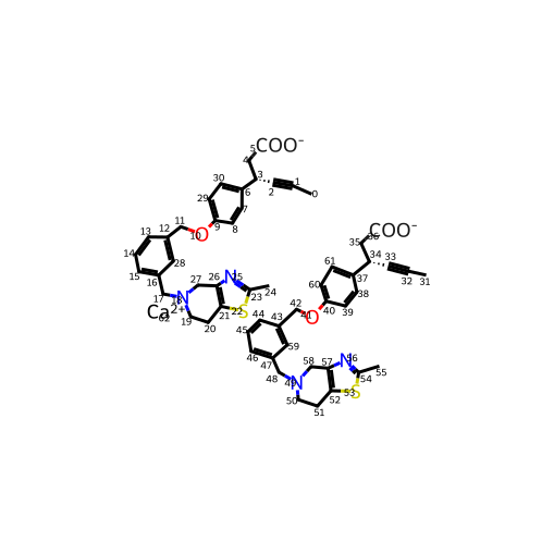 CC#C[C@@H](CC(=O)[O-])c1ccc(OCc2cccc(CN3CCc4sc(C)nc4C3)c2)cc1.CC#C[C@@H](CC(=O)[O-])c1ccc(OCc2cccc(CN3CCc4sc(C)nc4C3)c2)cc1.[Ca+2]